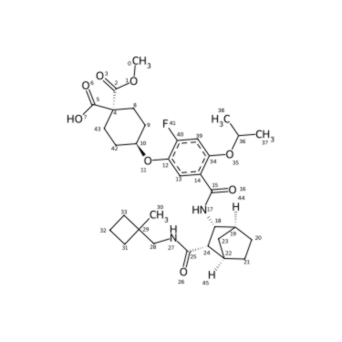 COC(=O)[C@]1(C(=O)O)CC[C@@H](Oc2cc(C(=O)N[C@@H]3[C@H]4CC[C@H](C4)[C@@H]3C(=O)NCC3(C)CCC3)c(OC(C)C)cc2F)CC1